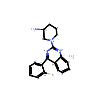 Cl.N[C@H]1CCCN(c2nc(-c3ccccc3F)c3ccccc3n2)C1